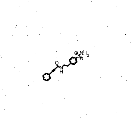 NS(=O)(=O)c1ccc(CCNC(=O)C#Cc2ccccc2)cc1